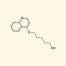 OCCCCCOc1ccnc2ccccc12